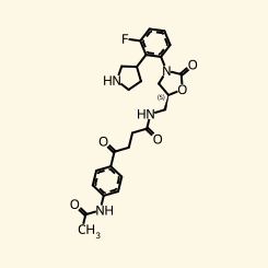 CC(=O)Nc1ccc(C(=O)CCC(=O)NC[C@H]2CN(c3cccc(F)c3C3CCNC3)C(=O)O2)cc1